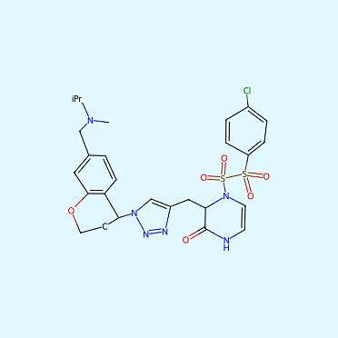 CC(C)N(C)Cc1ccc2c(c1)OCCC2n1cc(CC2C(=O)NC=CN2S(=O)(=O)S(=O)(=O)c2ccc(Cl)cc2)nn1